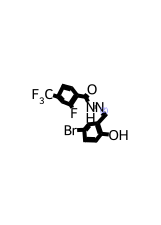 O=C(N/N=C\c1cc(Br)ccc1O)c1ccc(C(F)(F)F)cc1F